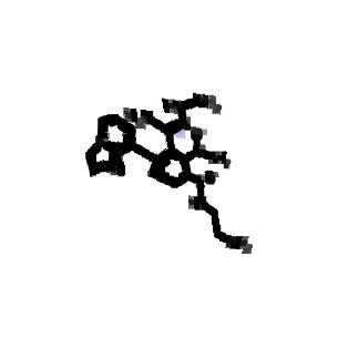 NCCN[S+]([O-])c1ccc(-c2cccn3ccnc23)c(/C(N)=N/NN)c1[S+](N)[O-]